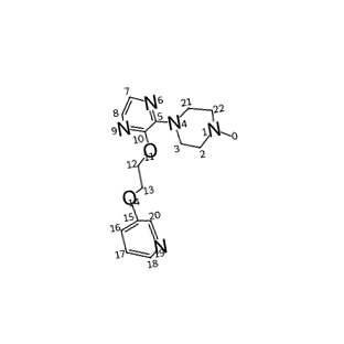 CN1CCN(c2nccnc2OCCOc2cccnc2)CC1